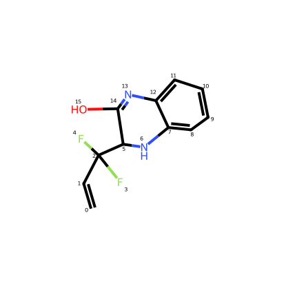 C=CC(F)(F)C1Nc2ccccc2N=C1O